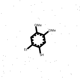 CCc1cc(OC)c(OC)cc1S